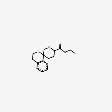 CCOC(=O)C1CCC2(CO1)OCCc1ccccc12